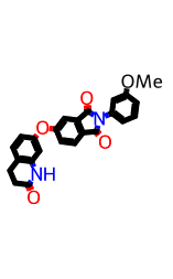 COc1cccc(N2C(=O)c3ccc(Oc4ccc5c(c4)NC(=O)CC5)cc3C2=O)c1